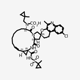 Cc1nc2ccc(Cl)cc2c2c1O[C@]1(CC2)C[C@H]2C(=O)N[C@]3(C(=O)NS(=O)(=O)C4(C)CC4)C[C@H]3C=CCCCCC[C@H](N(CC3(C)CC3)C(=O)O)C(=O)N2C1